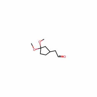 COC1(OC)CCC(CC=O)C1